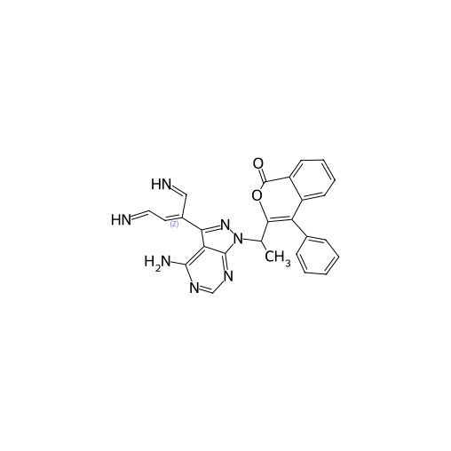 CC(c1oc(=O)c2ccccc2c1-c1ccccc1)n1nc(/C(C=N)=C/C=N)c2c(N)ncnc21